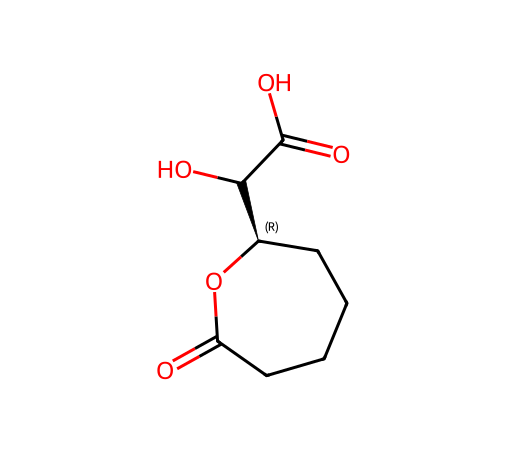 O=C1CCCC[C@H](C(O)C(=O)O)O1